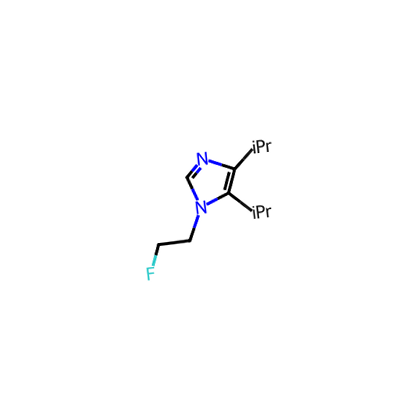 CC(C)c1ncn(CCF)c1C(C)C